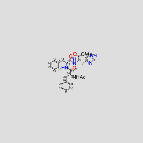 COC(=O)[C@H](Cc1c[nH]cn1)NC(=O)[C@H](Cc1ccccc1)NC(=O)[C@H](Cc1ccccc1)NC(C)=O